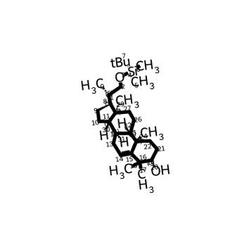 C[C@H](CO[Si](C)(C)C(C)(C)C)[C@@H]1CC[C@H]2[C@@H]3CC=C4C(C)(C)[C@@H](O)CC[C@@]4(C)[C@H]3CC[C@@]21C